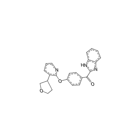 O=C(c1ccc(Oc2ncccc2C2CCOC2)cc1)c1nc2ccccc2[nH]1